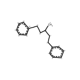 C[C](CCc1ccccc1)CCc1ccccc1